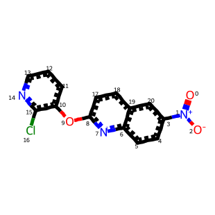 O=[N+]([O-])c1ccc2nc(Oc3cccnc3Cl)ccc2c1